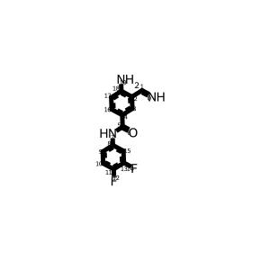 N=Cc1cc(C(=O)Nc2ccc(F)c(F)c2)ccc1N